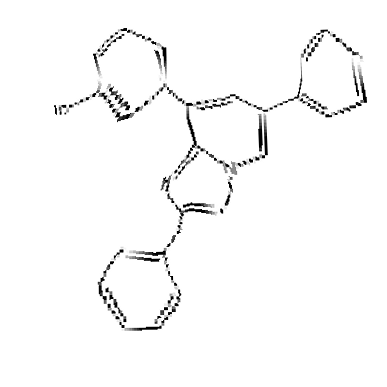 Oc1cccc(-c2cc(-c3ccccc3)cn3cc(-c4ccccc4)nc23)c1